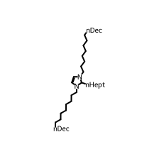 CCCCCCCCCCCCCCCCCCN1C=CN(CCCCCCCCCCCCCCCCCC)C1CCCCCCC